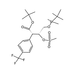 CC(C)(C)OC(=O)[C@@H](c1ccc(C(F)(F)F)cc1)[C@H](CO[Si](C)(C)C(C)(C)C)OS(C)(=O)=O